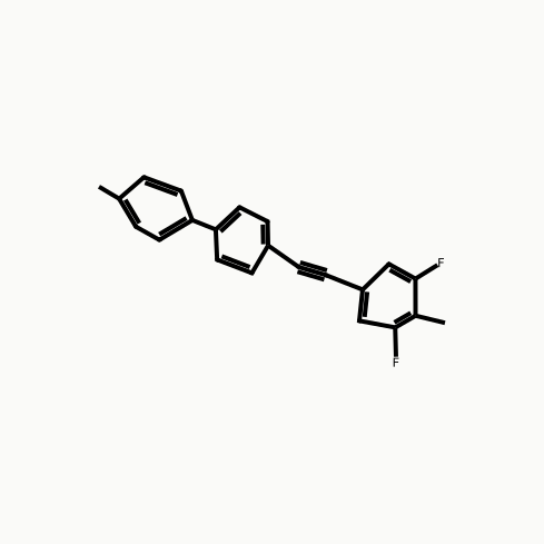 Cc1ccc(-c2ccc(C#Cc3cc(F)c(C)c(F)c3)cc2)cc1